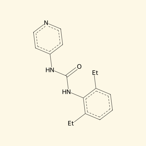 CCc1cccc(CC)c1NC(=O)Nc1ccncc1